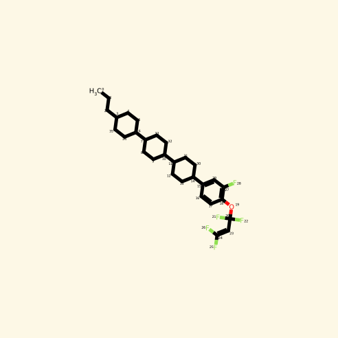 CCCC1CCC(C2CCC(C3CCC(c4ccc(OC(F)(F)C=C(F)F)c(F)c4)CC3)CC2)CC1